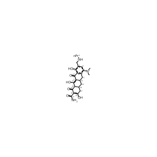 CCCNCc1cc(N(C)C)c2c(c1O)C(=O)C1=C(O)C3C(=O)C(C(N)=O)=C(O)CC3CC1C2